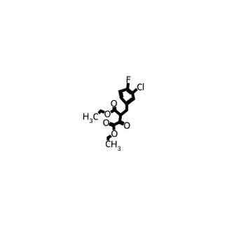 CCOC(=O)C(=O)C(Cc1ccc(F)c(Cl)c1)C(=O)OCC